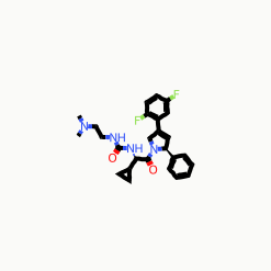 CN(C)CCNC(=O)N[C@H](C(=O)N1CC(c2cc(F)ccc2F)=C[C@H]1c1ccccc1)C1CC1